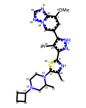 COc1cc(-c2[nH]nc(-c3nc(C)c(N4CCN(C5CCC5)CC4C)s3)c2C(C)C)cn2ncnc12